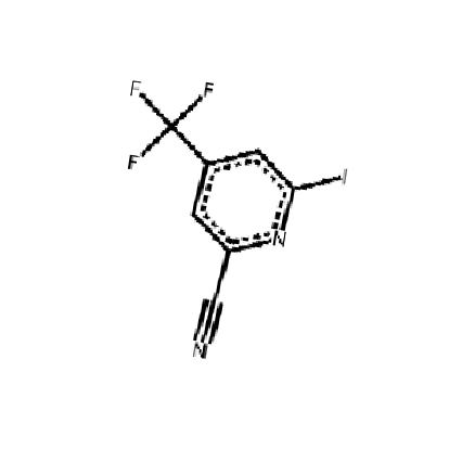 N#Cc1cc(C(F)(F)F)cc(I)n1